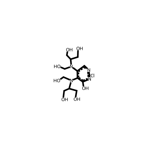 Cl.OCC(CO)N(CO)c1cnnc(O)c1N(CO)C(CO)CO